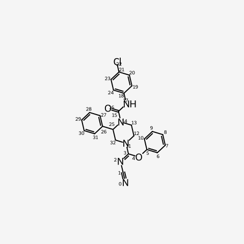 N#C/N=C(\Oc1ccccc1)N1CCN(C(=O)Nc2ccc(Cl)cc2)C(c2ccccc2)C1